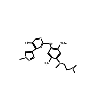 COc1cc(N(C)CCN(C)C)c(N)cc1Nc1ncc(Cl)c(-c2cnn(C)c2)n1